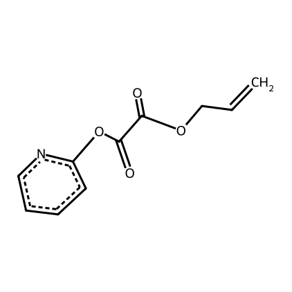 C=CCOC(=O)C(=O)Oc1ccccn1